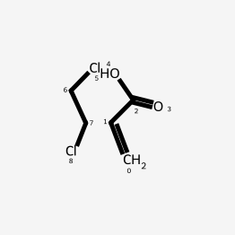 C=CC(=O)O.ClCCCl